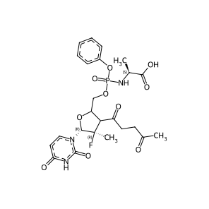 CC(=O)CCC(=O)C1C(COP(=O)(N[C@@H](C)C(=O)O)Oc2ccccc2)O[C@@H](n2ccc(=O)[nH]c2=O)[C@]1(C)F